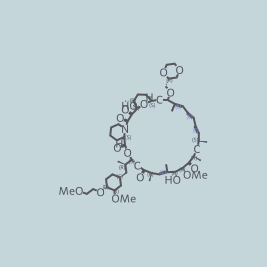 COCCO[C@@H]1CC[C@@H](C[C@@H](C)[C@@H]2CC(=O)[C@H](C)/C=C(\C)[C@@H](O)[C@@H](OC)C(=O)[C@H](C)C[C@H](C)/C=C/C=C/C=C(\C)C(OC[C@H]3COCCO3)C[C@@H]3CC[C@@H](C)[C@@](O)(O3)C(=O)C(=O)N3CCCC[C@H]3C(=O)O2)C[C@H]1OC